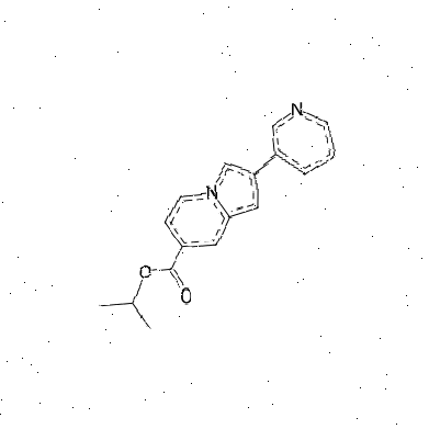 CC(C)OC(=O)c1ccn2cc(-c3cccnc3)cc2c1